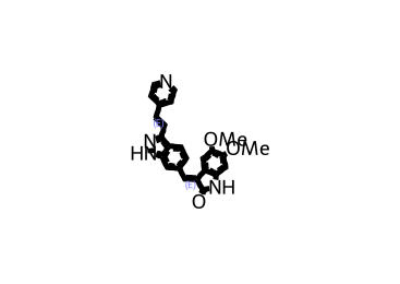 COc1cc2c(cc1OC)/C(=C\c1ccc3c(/C=C/c4ccncc4)n[nH]c3c1)C(=O)N2